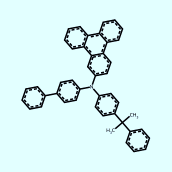 CC(C)(c1ccccc1)c1ccc(N(c2ccc(-c3ccccc3)cc2)c2ccc3c4ccccc4c4ccccc4c3c2)cc1